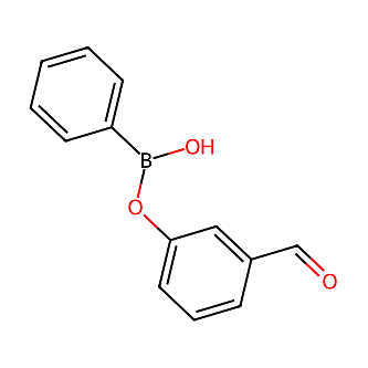 O=Cc1cccc(OB(O)c2ccccc2)c1